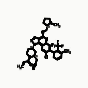 C=CC(=O)N1CC[C@H](n2ncc3c(OC[C@@H]4CCCN4C)nc4c(F)c(-c5cccc(C)c5C(F)(F)F)c(Cl)cc4c32)C[C@H]1CC#N